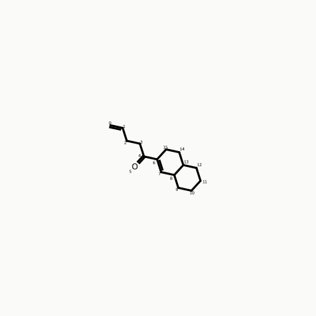 C=CCCC(=O)C1=CC2CCCCC2CC1